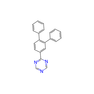 c1ccc(-c2ccc(-c3ncncn3)cc2-c2ccccc2)cc1